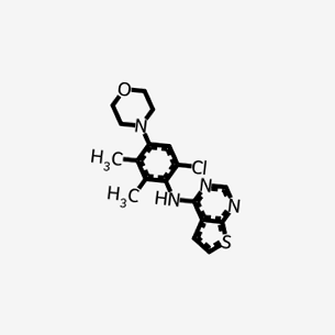 Cc1c(N2CCOCC2)cc(Cl)c(Nc2ncnc3sccc23)c1C